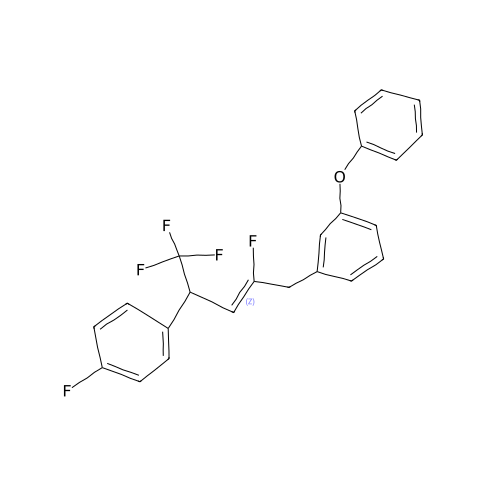 F/C(=C\C(c1ccc(F)cc1)C(F)(F)F)Cc1cccc(Oc2ccccc2)c1